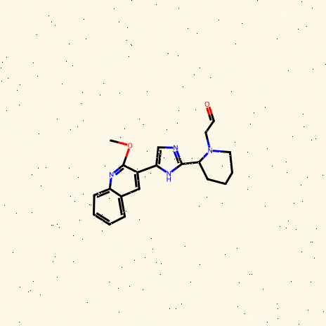 COc1nc2ccccc2cc1-c1cnc(C2CCCCN2CC=O)[nH]1